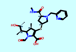 CNC(=O)[C@@H]1C[C@H](SC2=C(C(=O)O)N(C=O)C([C@@H](C)[C@@H](C)O)[C@H]2C)CN1Cc1ccccn1